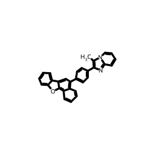 Cc1c(-c2ccc(-c3cc4c5ccccc5oc4c4ccccc34)cc2)nc2ccccn12